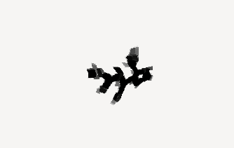 CC(=O)NC(=O)c1ccoc1C=O